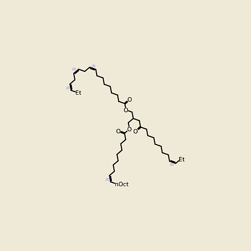 CC/C=C\C/C=C\C/C=C\CCCCCCCC(=O)OCC(COC(=O)CCCCCCC/C=C\CCCCCCCC)CC(=O)CCCCCCC/C=C\CC